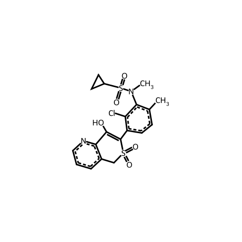 Cc1ccc(C2=C(O)c3ncccc3CS2(=O)=O)c(Cl)c1N(C)S(=O)(=O)C1CC1